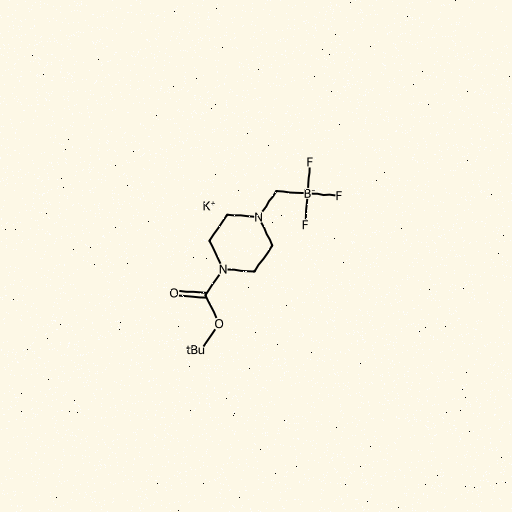 CC(C)(C)OC(=O)N1CCN(C[B-](F)(F)F)CC1.[K+]